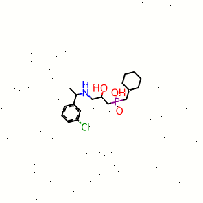 CC(NCC(O)CP(=O)(O)CC1CCCCC1)c1cccc(Cl)c1